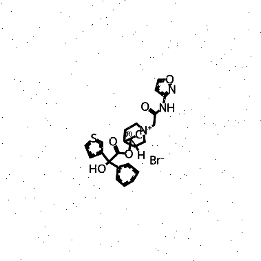 O=C(C[N+]12CCC(CC1)[C@@H](OC(=O)C(O)(c1ccccc1)c1ccsc1)C2)Nc1ccon1.[Br-]